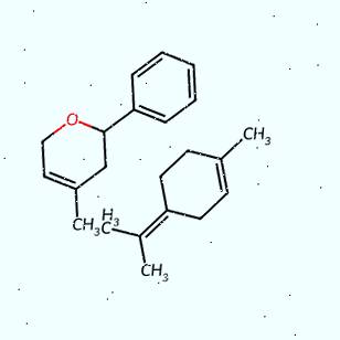 CC1=CCC(=C(C)C)CC1.CC1=CCOC(c2ccccc2)C1